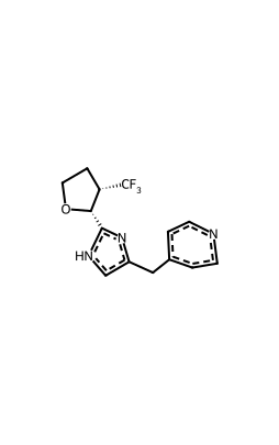 FC(F)(F)[C@H]1CCO[C@H]1c1nc(Cc2ccncc2)c[nH]1